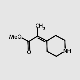 COC(=O)C(C)=C1CCNCC1